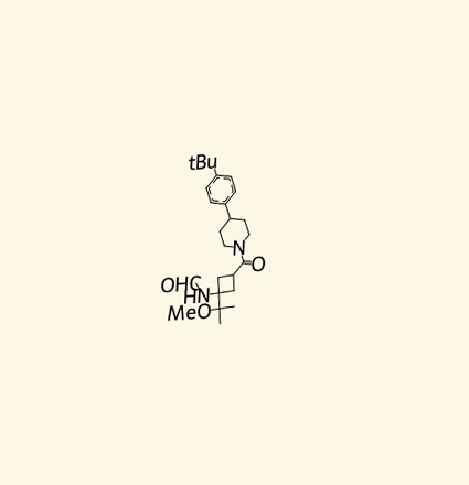 COC(C)(C)C1(NC=O)CC(C(=O)N2CCC(c3ccc(C(C)(C)C)cc3)CC2)C1